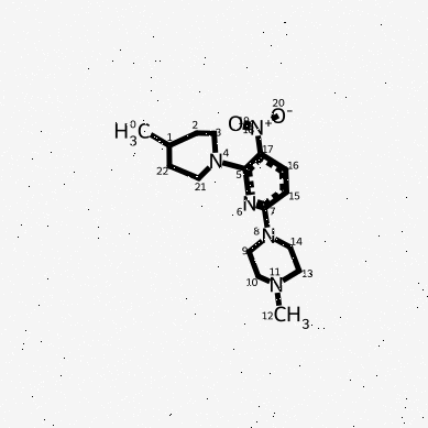 CC1CCN(c2nc(N3CCN(C)CC3)ccc2[N+](=O)[O-])CC1